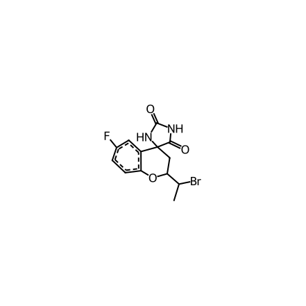 CC(Br)C1CC2(NC(=O)NC2=O)c2cc(F)ccc2O1